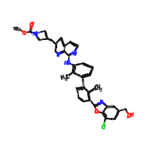 Cc1c(Nc2nccc3cc(C4CN(C(=O)OC(C)(C)C)C4)cnc23)cccc1-c1cccc(-c2nc3cc(CO)cc(Cl)c3o2)c1C